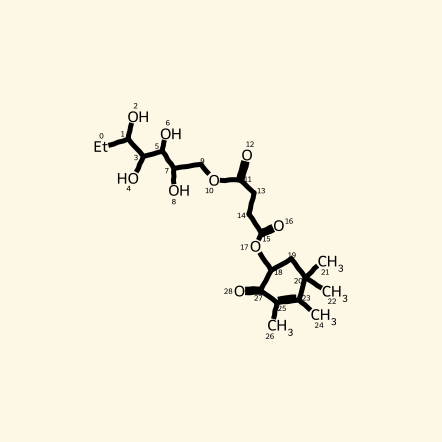 CCC(O)C(O)C(O)C(O)COC(=O)CCC(=O)OC1CC(C)(C)C(C)=C(C)C1=O